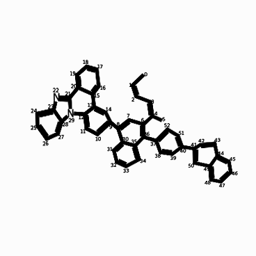 C/C=C\C=C(\C)c1cc(-c2ccc3c(c2)c2ccccc2c2nc4ccccc4n32)c2ccccc2c1-c1ccc(-c2ccc3ccccc3c2)cc1